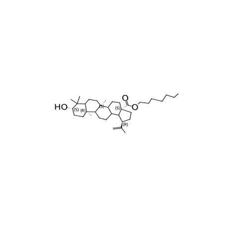 C=C(C)[C@@H]1CC[C@]2(C(=O)OCCCCCCC)CCC3C(CCC4[C@@]3(C)CCC3C(C)(C)[C@@H](O)CC[C@@]34C)C12